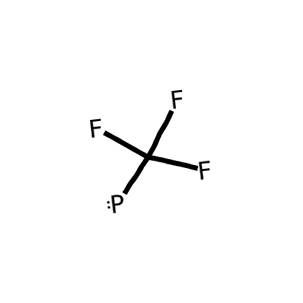 FC(F)(F)[P]